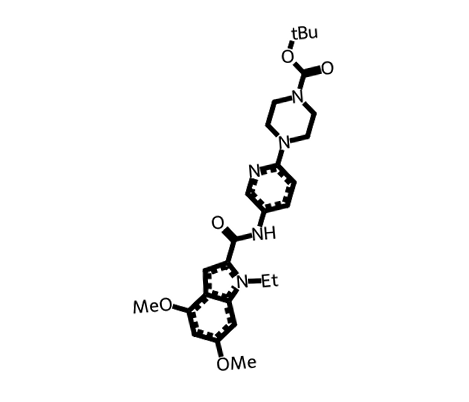 CCn1c(C(=O)Nc2ccc(N3CCN(C(=O)OC(C)(C)C)CC3)nc2)cc2c(OC)cc(OC)cc21